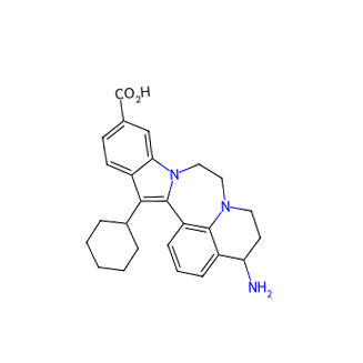 NC1CCN2CCn3c(c(C4CCCCC4)c4ccc(C(=O)O)cc43)-c3cccc1c32